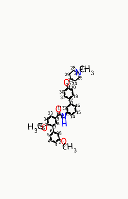 COc1cccc(-c2cc(C(=O)Nc3cccc(-c4ccc(OC5CCN(C)CC5)cc4)c3)ccc2OC)c1